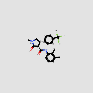 Cc1cccc(NC(=O)[C@H]2C(=O)N(C)C[C@@H]2c2ccc(C(F)(F)F)cc2)c1C